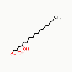 CCCCCCCCCCCCCC(O)CC(O)CO